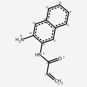 C=CC(=O)Nc1cc2ccccc2cc1N